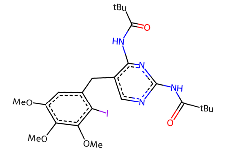 COc1cc(Cc2cnc(NC(=O)C(C)(C)C)nc2NC(=O)C(C)(C)C)c(I)c(OC)c1OC